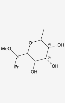 CON(C(C)C)C1OC(C)[C@H](O)[C@H](O)C1O